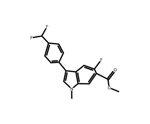 COC(=O)c1cc2c(cc1F)c(-c1ccc(C(F)F)cc1)cn2C